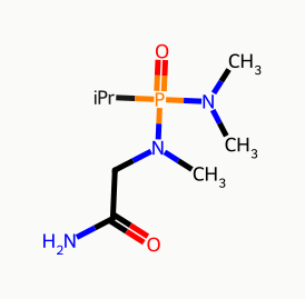 CC(C)P(=O)(N(C)C)N(C)CC(N)=O